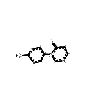 Cc1ncc(-n2cnccc2=O)cn1